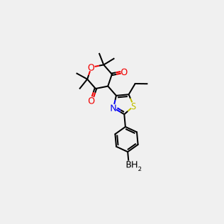 Bc1ccc(-c2nc(C3C(=O)C(C)(C)OC(C)(C)C3=O)c(CC)s2)cc1